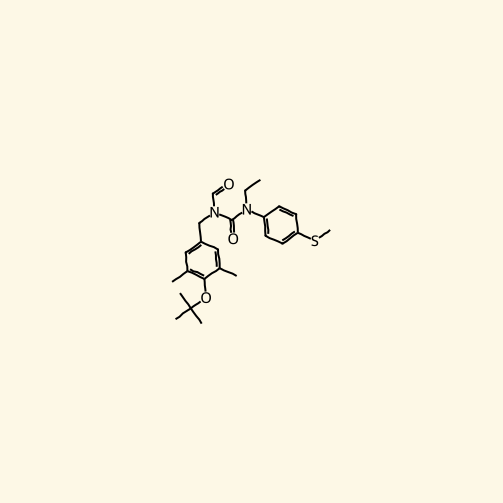 CCN(C(=O)N(C=O)Cc1cc(C)c(OC(C)(C)C)c(C)c1)c1ccc(SC)cc1